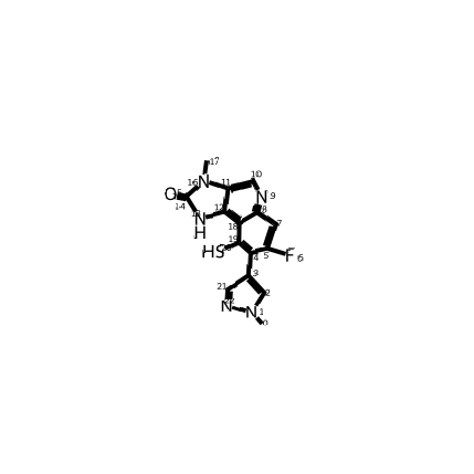 Cn1cc(-c2c(F)cc3ncc4c([nH]c(=O)n4C)c3c2S)cn1